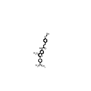 Cc1cc(N2CCC(N(C)C)CC2)nc2ccc(NC(=O)CCc3ccc(OCS)cc3)cc12